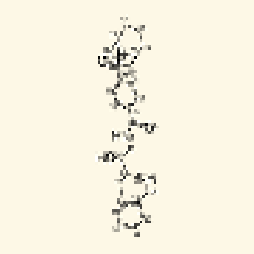 O=C(NCC(O)C1Cc2ccccc2CN1)c1ccc(C(=O)N2C3CCCC2COC3)cc1